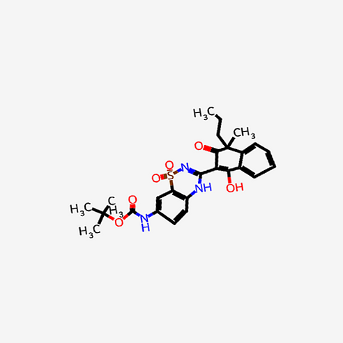 CCCC1(C)C(=O)C(C2=NS(=O)(=O)c3cc(NC(=O)OC(C)(C)C)ccc3N2)=C(O)c2ccccc21